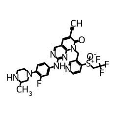 C#Cc1cc2cnc(Nc3ccc(N4CCNC(C)C4)c(F)c3)nc2n(Cc2cnccc2[S+]([O-])CC(F)(F)F)c1=O